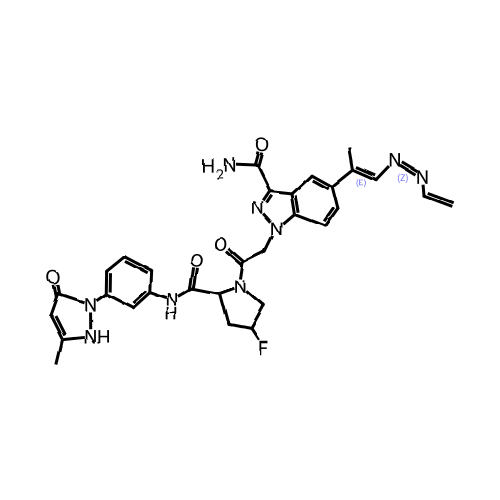 C=C/N=N\C=C(/C)c1ccc2c(c1)c(C(N)=O)nn2CC(=O)N1CC(F)CC1C(=O)Nc1cccc(-n2[nH]c(C)cc2=O)c1